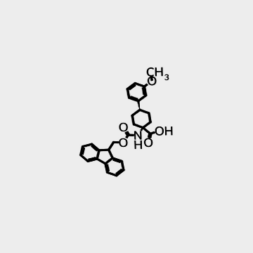 COc1cccc([C@H]2CC[C@](NC(=O)OCC3c4ccccc4-c4ccccc43)(C(=O)O)CC2)c1